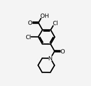 O=C(O)c1c(Cl)cc(C(=O)N2CCCCC2)cc1Cl